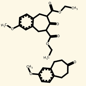 CCOC(=O)C1Cc2ccc(OC)cc2CC(C(=O)OCC)C1=O.COc1ccc2c(c1)CCC(=O)CC2